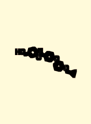 OCC1CCc2nc(-c3ccc(Oc4cccc(OCC5CC5)c4)cc3)oc2C1